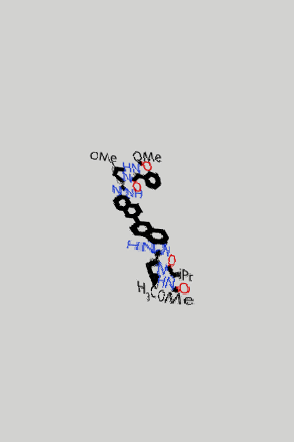 COC[C@H]1C[C@@H](c2nc3ccc4cc(-c5ccc6c(ccc7nc([C@@H]8CC9C([C@@H]9C)N8C(=O)C(NC(=O)OC)C(C)C)[nH]c76)c5)ccc4c3[nH]2)N(C(=O)[C@H](NC(=O)OC)c2ccccc2)C1